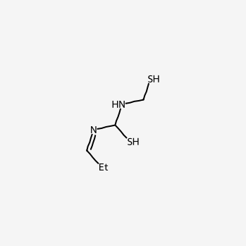 CC/C=N\C(S)NCS